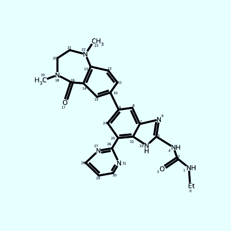 CCNC(=O)Nc1nc2cc(-c3ccc4c(c3)C(=O)N(C)CCN4C)cc(-c3ncccn3)c2[nH]1